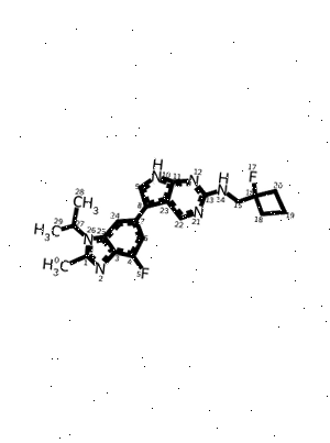 Cc1nc2c(F)cc(-c3c[nH]c4nc(NCC5(F)CCC5)ncc34)cc2n1C(C)C